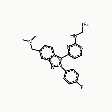 CN(C)Cc1ccc2c(-c3ccnc(NCC(C)(C)C)n3)n(-c3ccc(F)cc3)nc2c1